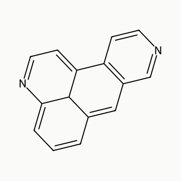 C1=CC2=Cc3cnccc3C3=CC=NC(=C1)C23